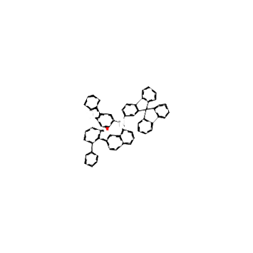 c1ccc(-c2cccc3sc4c(ccc5cccc(N(c6ccc7c(c6)C6(c8ccccc8-c8ccccc86)c6ccccc6-7)c6ccc7oc8ccccc8c7c6)c54)c23)cc1